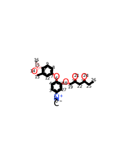 [C-]#[N+]c1ccc(Oc2ccc3c(c2)COB3C)c(OCC(=O)CC(=O)CC)c1